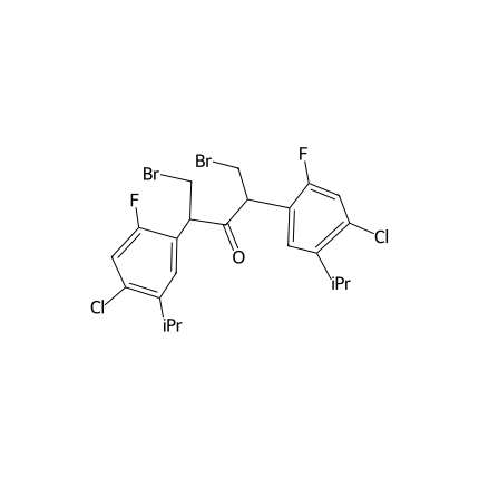 CC(C)c1cc(C(CBr)C(=O)C(CBr)c2cc(C(C)C)c(Cl)cc2F)c(F)cc1Cl